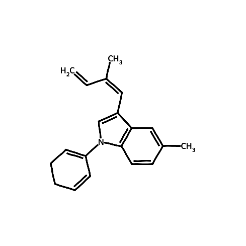 C=C/C(C)=C\c1cn(C2=CCCC=C2)c2ccc(C)cc12